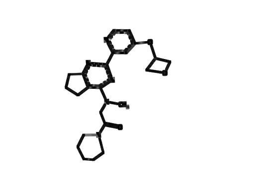 CN(CC(=O)N1CCCCC1)c1nc(-c2cc(OC3COC3)ccn2)nc2c1CCC2